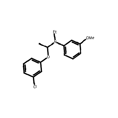 CCN(c1cccc(OC)c1)C(C)Oc1cccc(Cl)c1